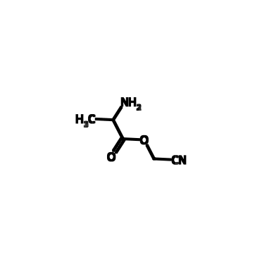 CC(N)C(=O)OCC#N